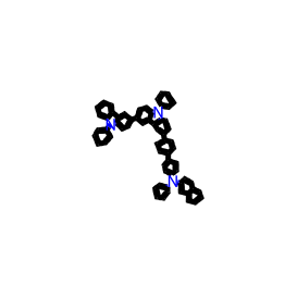 c1ccc(N(c2ccc(-c3ccc(-c4ccc5c(c4)c4cc(-c6ccc7c(c6)c6ccccc6n7-c6ccccc6)ccc4n5-c4ccccc4)cc3)cc2)c2ccc3ccccc3c2)cc1